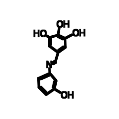 Oc1cccc(N=Cc2cc(O)c(O)c(O)c2)c1